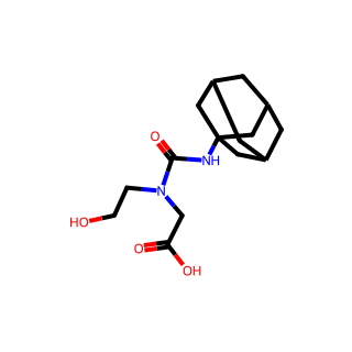 O=C(O)CN(CCO)C(=O)NC12CC3CC(CC(C3)C1)C2